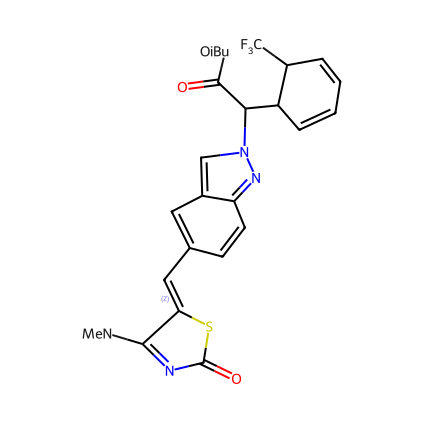 CNC1=NC(=O)S/C1=C\c1ccc2nn(C(C(=O)OCC(C)C)C3C=CC=CC3C(F)(F)F)cc2c1